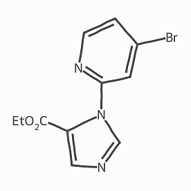 CCOC(=O)c1cncn1-c1cc(Br)ccn1